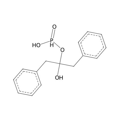 O=[PH](O)OC(O)(Cc1ccccc1)Cc1ccccc1